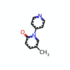 Cc1ccc(=O)n(-c2ccncc2)c1